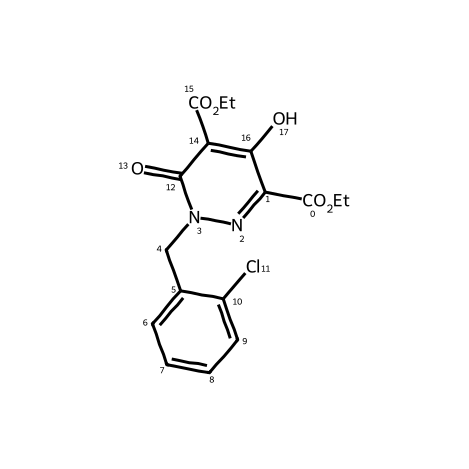 CCOC(=O)c1nn(Cc2ccccc2Cl)c(=O)c(C(=O)OCC)c1O